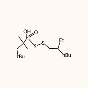 CCCCC(CC)CSSP(=O)(O)C(C)(C)CC(C)(C)C